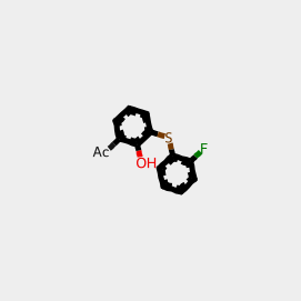 CC(=O)c1cccc(Sc2ccccc2F)c1O